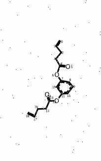 C=CCCC(=O)Oc1cccc(OC(=O)CCC=C)c1